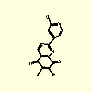 CC1=C(Br)C(=O)c2nc(-c3ccnc(Cl)c3)ccc2C1=O